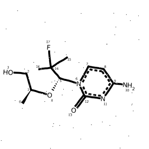 C[C@@H](CO)O[C@@H](n1ccc(N)nc1=O)C(C)(C)F